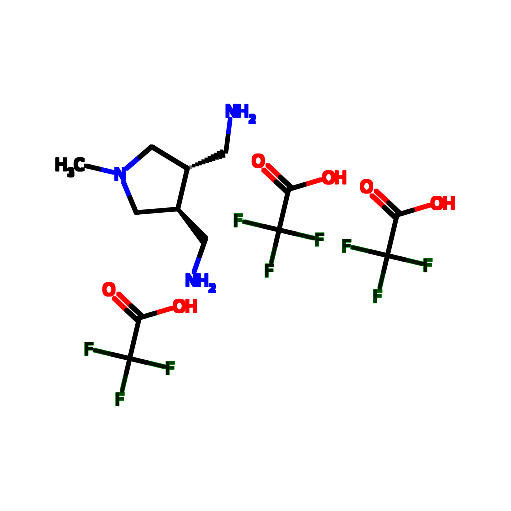 CN1C[C@H](CN)[C@@H](CN)C1.O=C(O)C(F)(F)F.O=C(O)C(F)(F)F.O=C(O)C(F)(F)F